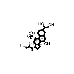 CC(C(O)CO)[C@H]1CC[C@H]2[C@@H]3C(O)CC4CC(C(O)CO)CC[C@]4(C)[C@H]3C(O[Si](C)(C)C(C)(C)C)C[C@]12C